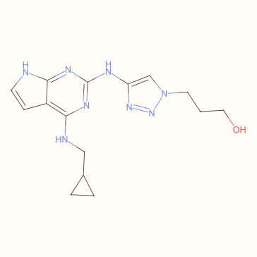 OCCCn1cc(Nc2nc(NCC3CC3)c3cc[nH]c3n2)nn1